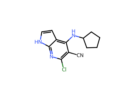 N#Cc1c(Cl)nc2[nH]ccc2c1NC1CCCC1